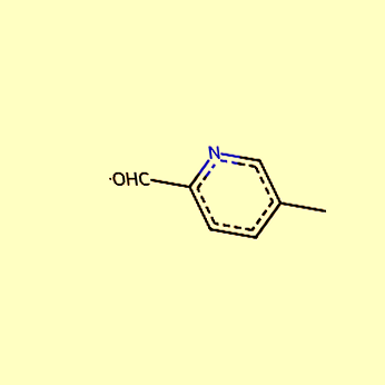 Cc1ccc([C]=O)nc1